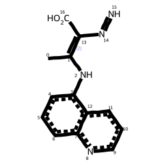 C/C(Nc1cccc2ncccc12)=C(/N=N)C(=O)O